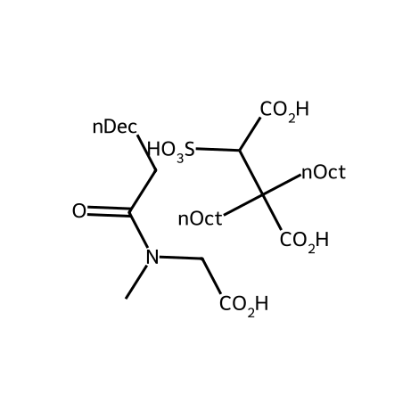 CCCCCCCCC(CCCCCCCC)(C(=O)O)C(C(=O)O)S(=O)(=O)O.CCCCCCCCCCCC(=O)N(C)CC(=O)O